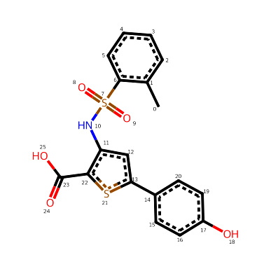 Cc1ccccc1S(=O)(=O)Nc1cc(-c2ccc(O)cc2)sc1C(=O)O